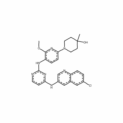 COc1nc(N2CCC(C)(O)CC2)ccc1Nc1nccc(Nc2cnc3ccc(Cl)cc3c2)n1